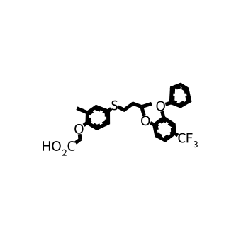 Cc1cc(SCCC(C)Oc2ccc(C(F)(F)F)cc2Oc2ccccc2)ccc1OCC(=O)O